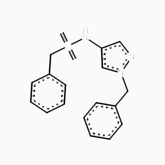 O=S(=O)(Cc1ccccc1)Nc1cnn(Cc2ccccc2)c1